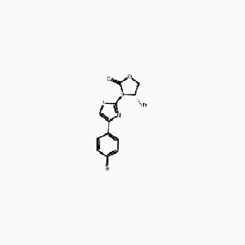 CCC[C@H]1COC(=O)N1c1nc(-c2ccc(Br)cc2)cs1